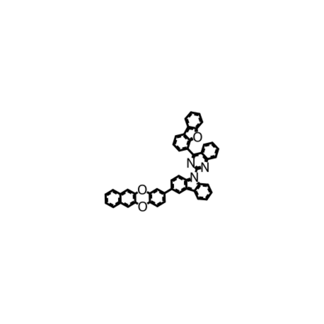 c1ccc2cc3c(cc2c1)Oc1ccc(-c2ccc4c(c2)c2ccccc2n4-c2nc(-c4cccc5c4oc4ccccc45)c4ccccc4n2)cc1O3